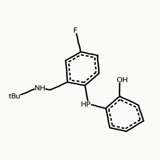 CC(C)(C)NCc1cc(F)ccc1Pc1ccccc1O